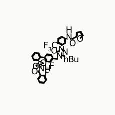 CCCCc1nn(-c2cc(NC(=O)c3ccco3)ccc2C(F)(F)F)c(=O)n1Cc1ccc(-c2ccccc2S(=O)(=O)NC(=O)c2ccccc2F)cc1F